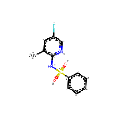 O=[N+]([O-])c1cc(F)cnc1NS(=O)(=O)c1ccccc1